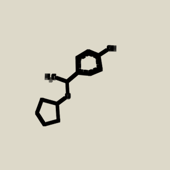 CC(OC1CCCC1)c1ccc(O)cc1